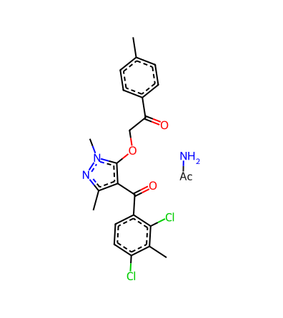 CC(N)=O.Cc1ccc(C(=O)COc2c(C(=O)c3ccc(Cl)c(C)c3Cl)c(C)nn2C)cc1